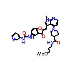 COCCCNC(=O)C1CCN(c2ccnc3c2c(C=C2Oc4ccc(NC(=O)Nc5cccnc5)cc4C2=O)cn3C)CC1